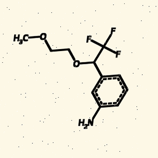 COCCOC(c1cccc(N)c1)C(F)(F)F